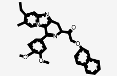 CCc1cc2nc3c(n2cc1C)C(c1ccc(OC)c(OC)c1)=NC(C(=O)COc1ccc2ccccc2c1)C3